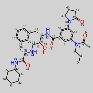 CCCN(C(C)=O)c1cc(C(=O)N[C@@H](Cc2ccccc2)[C@@H](O)CN[C@@H](C)C(=O)NC2CCCCC2)cc(N2CCCC2=O)c1